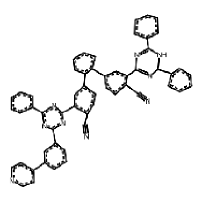 N#Cc1ccc(-c2ccccc2-c2ccc(C#N)c(-c3nc(-c4ccccc4)nc(-c4cccc(-c5ccncc5)c4)n3)c2)cc1C1=NC(c2ccccc2)NC(c2ccccc2)=N1